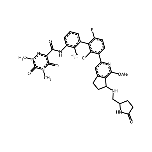 COc1nc(-c2ccc(F)c(-c3cccc(NC(=O)c4nn(C)c(=O)n(C)c4=O)c3C)c2Cl)cc2c1C(NCC1CCC(=O)N1)CC2